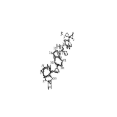 O=C(Nc1cc(C2(C(F)(F)F)CC2)on1)n1ccc2cc(Oc3ncnc4c3CNC4)ccc21